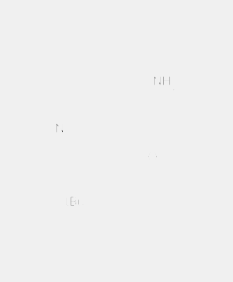 CC(C)(C)C1=COC2C(N)=CC=NC12